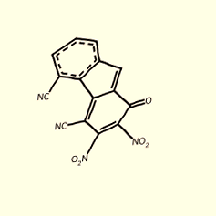 N#CC1=C2C(=Cc3cccc(C#N)c32)C(=O)C([N+](=O)[O-])=C1[N+](=O)[O-]